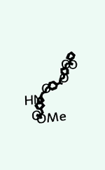 COC(=O)Cc1ccc2[nH]c(CCOc3ccc(C(C)COc4ccc(OC(=O)c5ccccc5)cc4)cc3)cc2c1